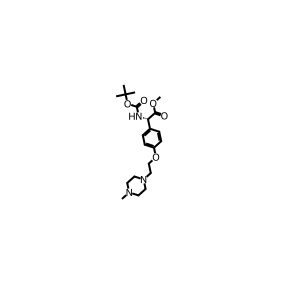 COC(=O)[C@@H](NC(=O)OC(C)(C)C)c1ccc(OCCN2CCN(C)CC2)cc1